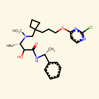 CCCC[C@@H](C(O)C(=O)N[C@H](C)c1ccccc1)N(CC1(CCCOc2ccnc(Cl)n2)CCC1)C(=O)O